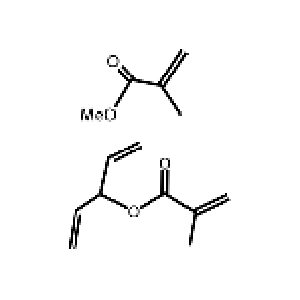 C=C(C)C(=O)OC.C=CC(C=C)OC(=O)C(=C)C